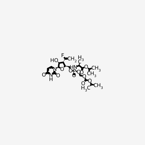 C=C(F)[C@H]1[C@@H](O)[C@H](n2ccc(=O)[nH]c2=O)O[C@@H]1COP(=O)(N[C@@H](C)C(=O)OC(C)C)OCOC(=O)OC(C)C